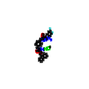 Cl.N[C@@H](Cc1ccc(F)c(F)c1)C(=O)NCc1ccc(CNC(=O)OCC2c3ccccc3-c3ccccc32)cc1